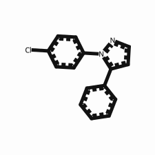 Clc1ccc(-n2nccc2-c2ccccc2)cc1